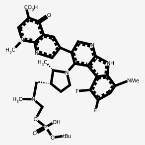 CNc1cc(F)c(F)c2c1[nH]c1ncc(-c3cnc4c(c3)c(=O)c(C(=O)O)cn4C)c(N3CC[C@H](CN(C)COP(=O)(O)OC(C)(C)C)[C@@H]3C)c12